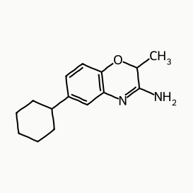 CC1Oc2ccc(C3CCCCC3)cc2N=C1N